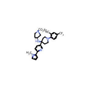 CCOC(=O)N1CC[C@H](NC2(c3ccc(-c4cccn4C)nc3)CCN(c3ccc(C(F)(F)F)cc3C#N)CC2)C1